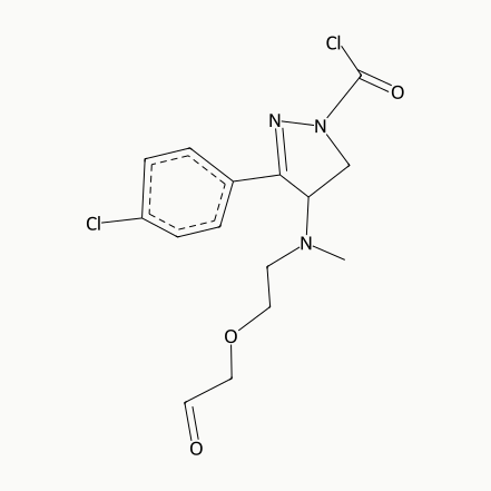 CN(CCOCC=O)C1CN(C(=O)Cl)N=C1c1ccc(Cl)cc1